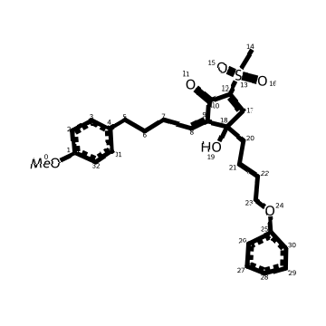 COc1ccc(CCC/C=C2\C(=O)C(S(C)(=O)=O)=CC2(O)CCCCOc2ccccc2)cc1